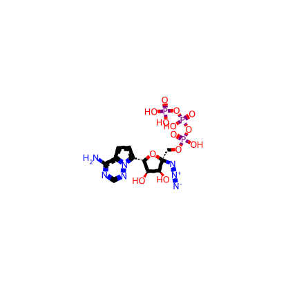 [N-]=[N+]=N[C@]1(COP(=O)(O)OP(=O)(O)OP(=O)(O)O)O[C@@H](c2ccc3c(N)ncnn23)[C@H](O)[C@@H]1O